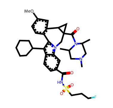 COc1ccc2c(c1)C1CC1(C(=O)N1C(C)CN(C)CC1C)Cn1c-2c(C2CCCCC2)c2ccc(C(=O)NS(=O)(=O)CCCF)cc21